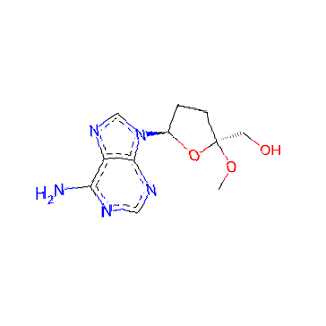 CO[C@]1(CO)CC[C@H](n2cnc3c(N)ncnc32)O1